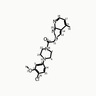 COc1cc(N2CCN(C(=O)Cn3cc4c(C)ccnc4n3)CC2)ccc1Cl